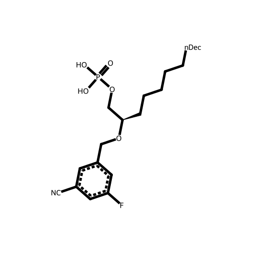 CCCCCCCCCCCCCCC[C@H](COP(=O)(O)O)OCc1cc(F)cc(C#N)c1